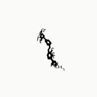 CCOc1ccc(-c2ccc(CCc3ccc(-c4cnc(C)nc4)c(F)c3F)cc2)c(F)c1F